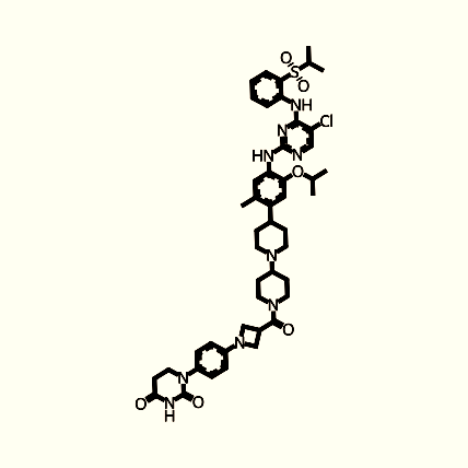 Cc1cc(Nc2ncc(Cl)c(Nc3ccccc3S(=O)(=O)C(C)C)n2)c(OC(C)C)cc1C1CCN(C2CCN(C(=O)C3CN(c4ccc(N5CCC(=O)NC5=O)cc4)C3)CC2)CC1